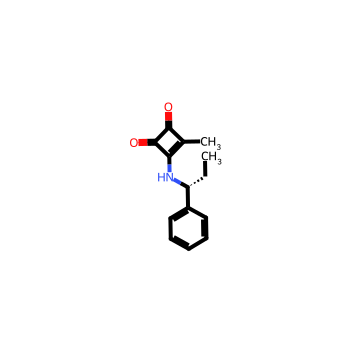 CC[C@@H](Nc1c(C)c(=O)c1=O)c1ccccc1